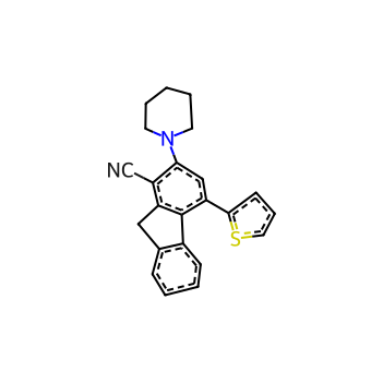 N#Cc1c(N2CCCCC2)cc(-c2cccs2)c2c1Cc1ccccc1-2